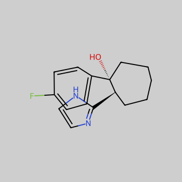 O[C@]1(c2ccc(F)cc2)CCCCC[C@H]1c1ncc[nH]1